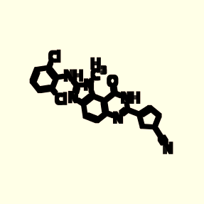 Cn1c(Nc2c(Cl)cccc2Cl)nc2ccc3nc(C4=CCC(C#N)C4)[nH]c(=O)c3c21